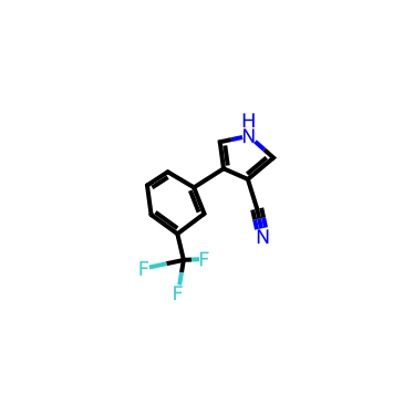 N#Cc1c[nH]cc1-c1cccc(C(F)(F)F)c1